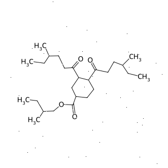 CCC(C)CCC(=O)C1CCC(C(=O)OCC(C)CC)CC1C(=O)CCC(C)CC